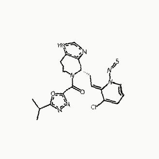 CC(C)c1nnc(C(=O)N2CCc3[nH]cnc3[C@@H]2C/C=C2/C(Cl)=CC=CN2N=S)o1